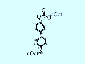 CCCCCCCCOC(=O)Oc1ccc(-c2ccc(SCCCCCCCC)cc2)cc1